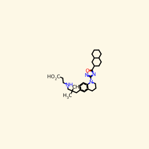 CC(C)(CNCCC(=O)O)Cc1ccc2c(c1)CCCN2c1noc(C2CCC3CCCCC3C2)n1